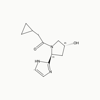 O=C([CH]C1CC1)N1C[C@H](O)C[C@H]1c1nc[c][nH]1